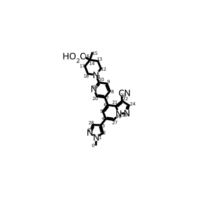 Cn1cc(-c2cc(-c3ccc(N4CCC(C)(C(=O)O)CC4)nc3)c3c(C#N)cnn3c2)cn1